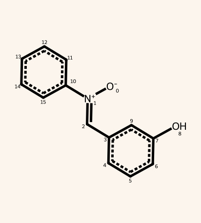 [O-][N+](=Cc1cccc(O)c1)c1ccccc1